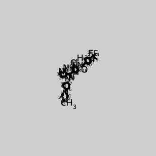 CN1CCN(C2CCC(n3nc(-c4ccc(NC(=O)c5ccc(C(F)(F)F)cc5)c(Cl)c4)c4c(N)nccc43)CC2)CC1